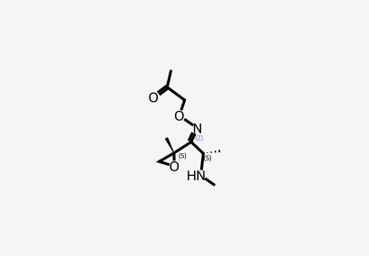 CN[C@@H](C)/C(=N/OCC(C)=O)[C@@]1(C)CO1